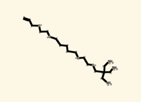 C=CCOCCOCCCCCOCCOCC(CN)(CN)CN